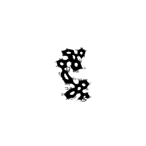 c1ccc(-c2c3ccccc3c(-c3cccc4c3oc3cc(-c5c6ccccc6c(-c6ccsc6)c6ccccc56)ccc34)c3ccccc23)cc1